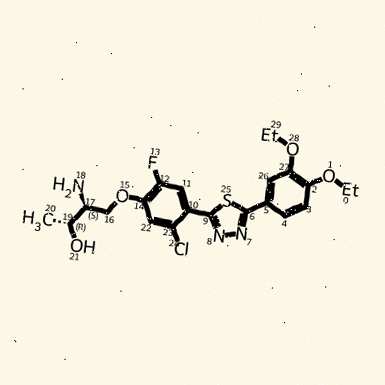 CCOc1ccc(-c2nnc(-c3cc(F)c(OC[C@H](N)[C@@H](C)O)cc3Cl)s2)cc1OCC